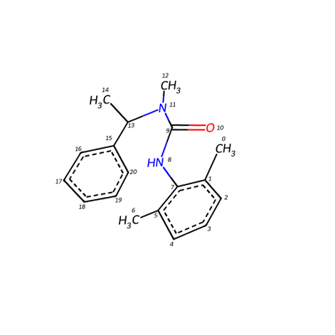 Cc1cccc(C)c1NC(=O)N(C)C(C)c1ccccc1